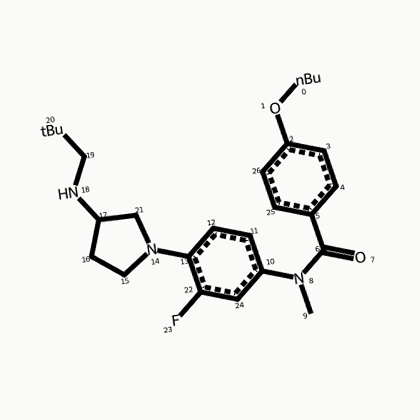 CCCCOc1ccc(C(=O)N(C)c2ccc(N3CCC(NCC(C)(C)C)C3)c(F)c2)cc1